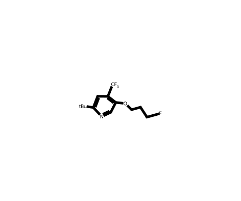 CC(C)(C)c1cc(C(F)(F)F)c(OCCCF)cn1